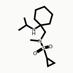 CC(C)NC1(CN(C)S(=O)(=O)C2CC2)CCCCC1